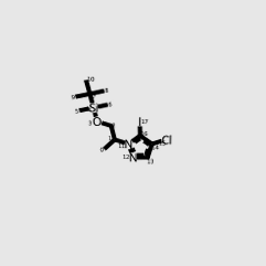 CC(CO[Si](C)(C)C(C)(C)C)n1ncc(Cl)c1I